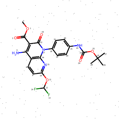 COC(=O)c1c(N)c2ccc(OC(F)F)nc2n(-c2ccc(NC(=O)OC(C)(C)C)cc2)c1=O